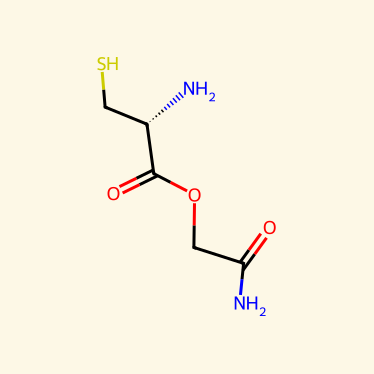 NC(=O)COC(=O)[C@@H](N)CS